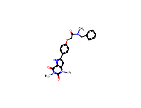 CCCn1c(=O)n(C)c(=O)c2[nH]c(-c3ccc(OCC(=O)N(C)Cc4ccccc4)cc3)cc21